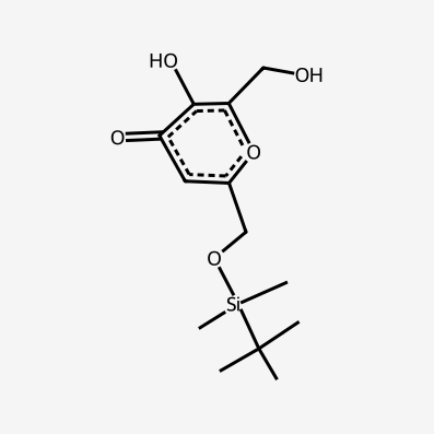 CC(C)(C)[Si](C)(C)OCc1cc(=O)c(O)c(CO)o1